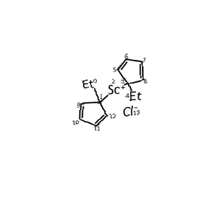 CC[C]1([Sc+][C]2(CC)C=CC=C2)C=CC=C1.[Cl-]